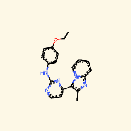 CCOc1ccc(Nc2nccc(-c3c(C)nc4ccccn34)n2)cc1